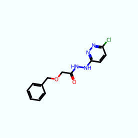 O=C(COCc1ccccc1)NNc1ccc(Cl)nn1